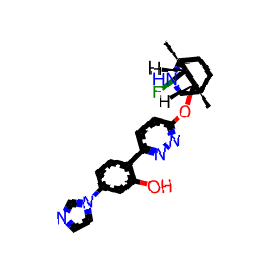 C[C@@]12CC[C@@](C)(NC1)[C@@H](F)[C@H]2Oc1ccc(-c2ccc(-n3ccnc3)cc2O)nn1